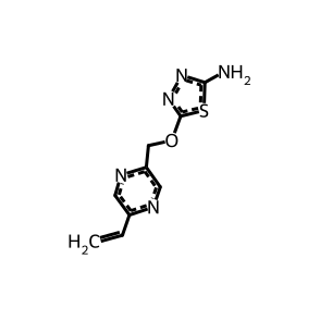 C=Cc1cnc(COc2nnc(N)s2)cn1